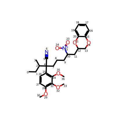 CCC(C)C(C#N)(CCCC(CC1COc2ccccc2O1)[N+](=O)[O-])c1ccc(OC)c(OC)c1OC